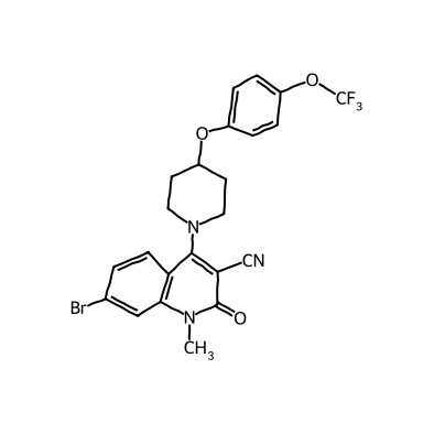 Cn1c(=O)c(C#N)c(N2CCC(Oc3ccc(OC(F)(F)F)cc3)CC2)c2ccc(Br)cc21